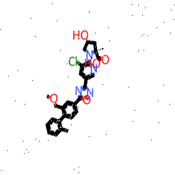 COCc1cc(-c2nc(-c3cnc(N4C[C@H](O)C[C@@]4(C)C(=O)O)c(Cl)c3)no2)ccc1-c1ccccc1C